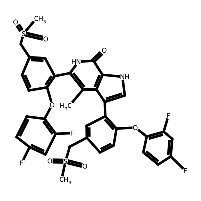 Cc1c(-c2cc(CS(C)(=O)=O)ccc2Oc2ccc(F)cc2F)[nH]c(=O)c2[nH]cc(-c3cc(CS(C)(=O)=O)ccc3Oc3ccc(F)cc3F)c12